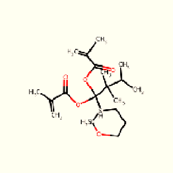 C=C(C)C(=O)OC(OC(=O)C(=C)C)([SiH]1CCCO[SiH2]1)C(C)(C)C(C)C